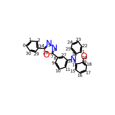 c1ccc(-c2nnc(-c3cccc(N4c5ccccc5Oc5ccccc54)c3)o2)cc1